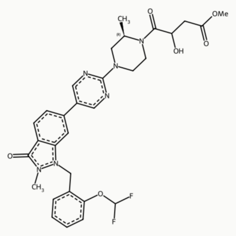 COC(=O)CC(O)C(=O)N1CCN(c2ncc(-c3ccc4c(=O)n(C)n(Cc5ccccc5OC(F)F)c4c3)cn2)C[C@H]1C